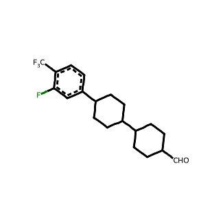 O=CC1CCC(C2CCC(c3ccc(C(F)(F)F)c(F)c3)CC2)CC1